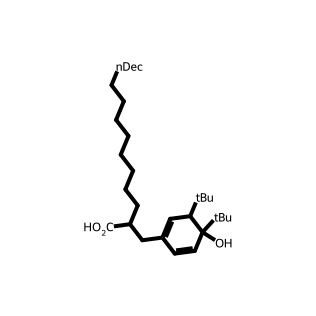 CCCCCCCCCCCCCCCCCCC(CC1=CC(C(C)(C)C)C(O)(C(C)(C)C)C=C1)C(=O)O